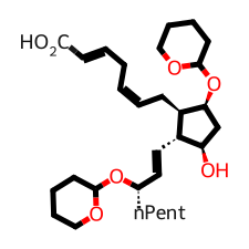 CCCCC[C@@H](/C=C/[C@@H]1[C@@H](C/C=C\C/C=C/C(=O)O)[C@@H](OC2CCCCO2)C[C@H]1O)OC1CCCCO1